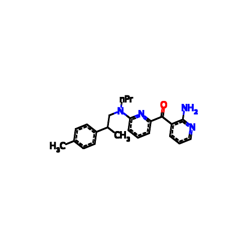 CCCN(CC(C)c1ccc(C)cc1)c1cccc(C(=O)c2cccnc2N)n1